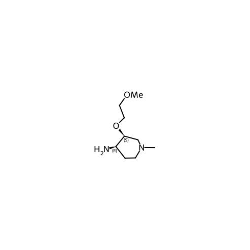 COCCO[C@H]1CN(C)CC[C@H]1N